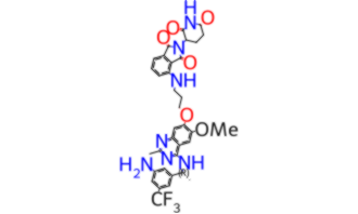 COc1cc2c(N[C@H](C)c3cc(N)cc(C(F)(F)F)c3)nc(C)nc2cc1OCCCNc1cccc2c1C(=O)N(C1CCC(=O)NC1=O)C2=O